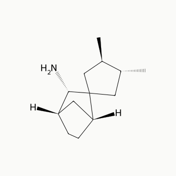 C[C@@H]1CC2(C[C@H]1C)[C@@H]1CC[C@@H](C1)[C@@H]2N